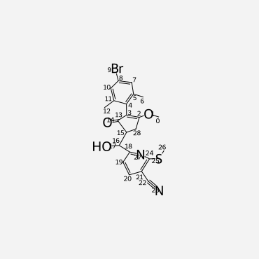 COC1=C(c2c(C)cc(Br)cc2C)C(=O)C(C(O)c2ccc(C#N)c(SC)n2)C1